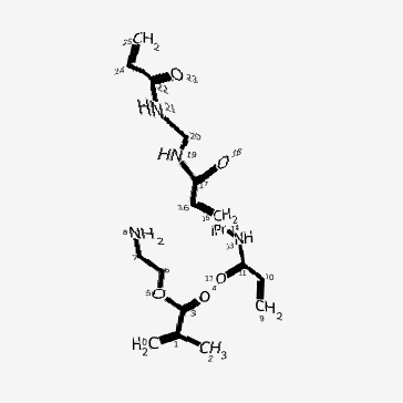 C=C(C)C(=O)OCCN.C=CC(=O)NC(C)C.C=CC(=O)NCNC(=O)C=C